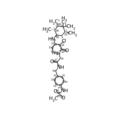 C[C@@H]1[C@@H](C)C(C)(C)[C@@H](C)C[C@H]1Nc1cnn(CC(=O)NCc2ccc(NS(C)(=O)=O)cc2)c(=O)c1Cl